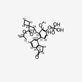 COc1c(OC(O)(O)O)ccc(-c2cccc3c2CCC3=O)c1OCC1(C(=O)OC(C)C)CCC1